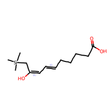 C[Si](C)(C)C/C(O)=C\C=C\CCCCC(=O)O